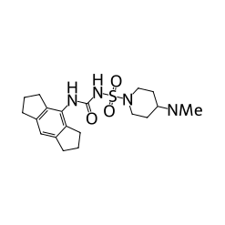 CNC1CCN(S(=O)(=O)NC(=O)Nc2c3c(cc4c2CCC4)CCC3)CC1